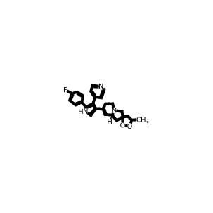 CC1CC2(C[C@H]3C=C(c4c[nH]c(-c5ccc(F)cc5)c4-c4ccncc4)CCN3C2)OO1